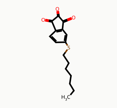 CCCCCCCSc1ccc2c(=O)c(=O)c(=O)c2c1